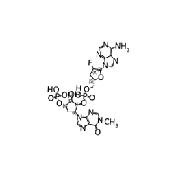 Cn1cnc2c(ncn2[C@@H]2C[C@H](OP(=O)(O)O)[C@@H](O)[C@H]2OP(=O)(O)OC[C@@H]2C[C@@H](F)[C@H](n3cnc4c(N)ncnc43)O2)c1=O